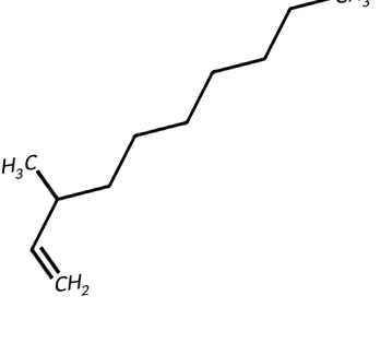 C=CC(C)CCCCCCC